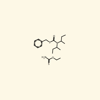 CCC(C)N(C(=O)SCc1ccccc1)C(C)CC.CCOC(N)=S